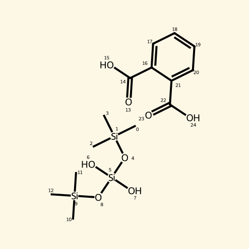 C[Si](C)(C)O[Si](O)(O)O[Si](C)(C)C.O=C(O)c1ccccc1C(=O)O